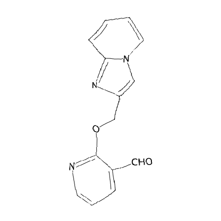 O=Cc1cccnc1OCc1cn2ccccc2n1